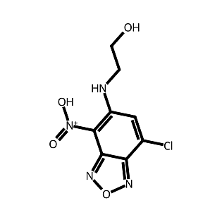 O=[N+](O)c1c(NCCO)cc(Cl)c2nonc12